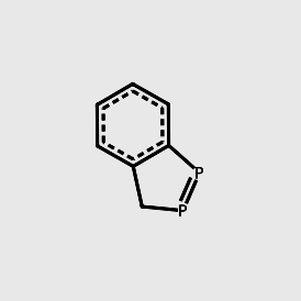 c1ccc2c(c1)CP=P2